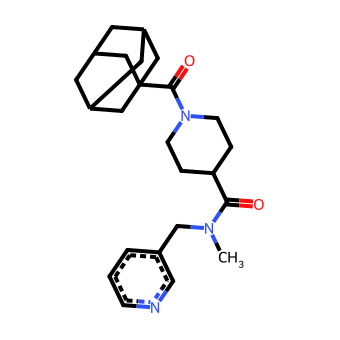 CN(Cc1cccnc1)C(=O)C1CCN(C(=O)C23CC4CC(CC(C4)C2)C3)CC1